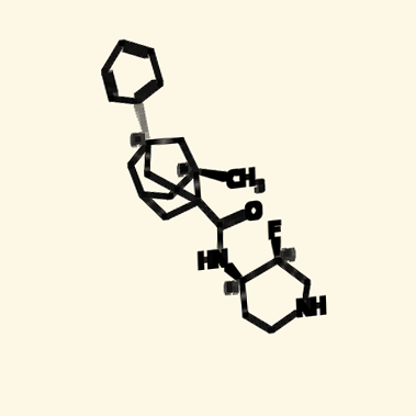 C[C@]12CC3CC1(C(=O)N[C@@H]1CCNC[C@@H]1F)C[C@@](c1ccccc1)(C3)C2